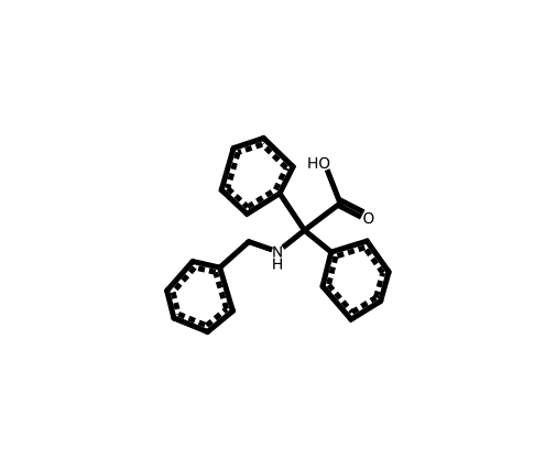 O=C(O)C(NCc1ccccc1)(c1ccccc1)c1ccccc1